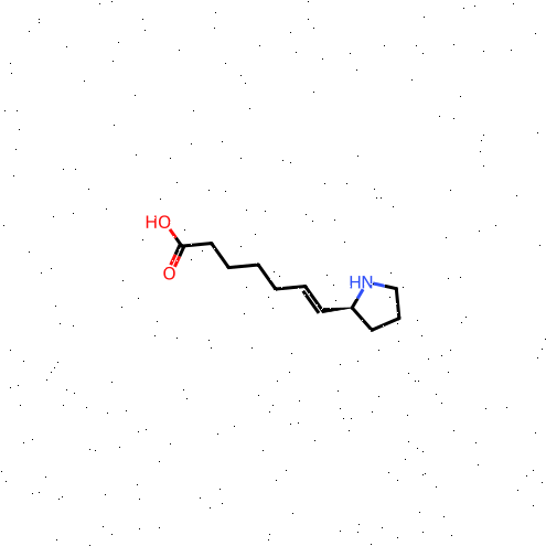 O=C(O)CCCCC=C[C@@H]1CCCN1